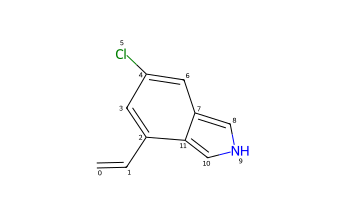 C=Cc1cc(Cl)cc2c[nH]cc12